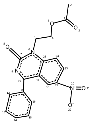 CC(=O)OCCn1c(=O)nc(-c2ccccc2)c2cc([N+](=O)[O-])ccc21